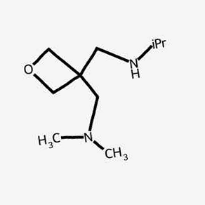 CC(C)NCC1(CN(C)C)COC1